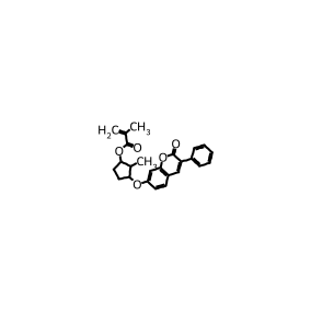 C=C(C)C(=O)OC1CCC(Oc2ccc3cc(-c4ccccc4)c(=O)oc3c2)C1C